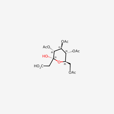 CC(=O)OC[C@H]1O[C@@](O)(CC(=O)O)[C@H](OC(C)=O)[C@@H](OC(C)=O)[C@@H]1OC(C)=O